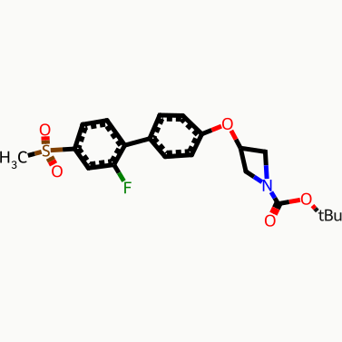 CC(C)(C)OC(=O)N1CC(Oc2ccc(-c3ccc(S(C)(=O)=O)cc3F)cc2)C1